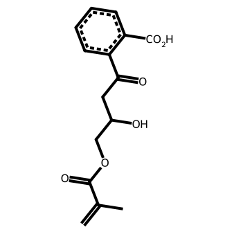 C=C(C)C(=O)OCC(O)CC(=O)c1ccccc1C(=O)O